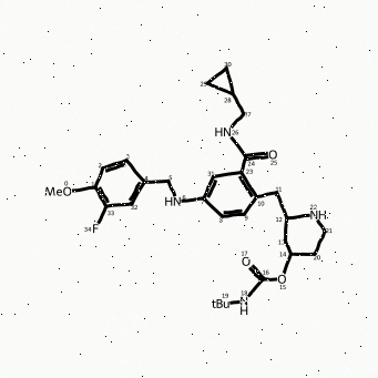 COc1ccc(CNc2ccc(CC3CC(OC(=O)NC(C)(C)C)CCN3)c(C(=O)NCC3CC3)c2)cc1F